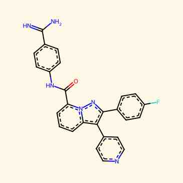 N=C(N)c1ccc(NC(=O)c2cccc3c(-c4ccncc4)c(-c4ccc(F)cc4)nn23)cc1